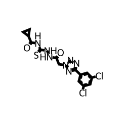 O=C(Cn1nnc(-c2cc(Cl)cc(Cl)c2)n1)NNC(=S)NC(=O)C1CC1